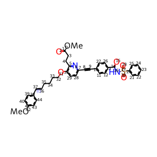 COC(=O)CCc1nc(C#Cc2ccc(C(=O)NS(=O)(=O)c3ccccc3)cc2)ccc1OCCCC/C=C/c1ccc(OC)cc1